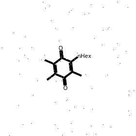 [CH2]CCCCCC1=C(C)C(=O)C(C)=C(C)C1=O